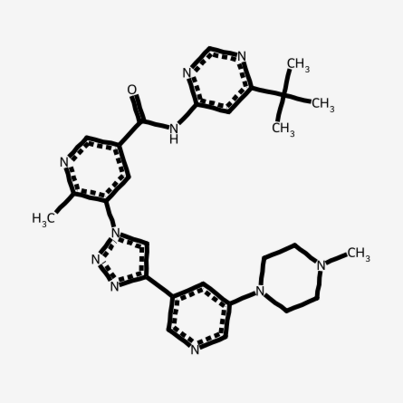 Cc1ncc(C(=O)Nc2cc(C(C)(C)C)ncn2)cc1-n1cc(-c2cncc(N3CCN(C)CC3)c2)nn1